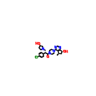 C[C@@H]1C[C@@H](O)c2ncnc(N3CCN(C(=O)[C@@H](CN4CC[C@@H](O)C4)c4ccc(Cl)cc4)CC3)c21